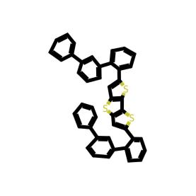 c1ccc(-c2cccc(-c3ccccc3-c3cc4sc5cc(-c6ccccc6-c6cccc(-c7ccccc7)c6)sc5c4s3)c2)cc1